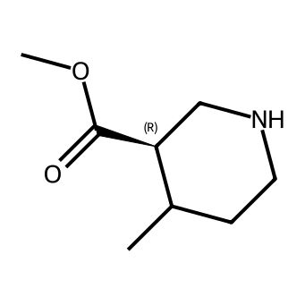 COC(=O)[C@H]1CNCCC1C